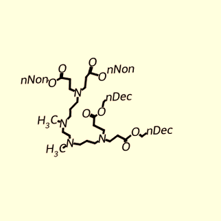 CCCCCCCCCCCOC(=O)CCN(CCCN(C)CCN(C)CCCN(CCC(=O)OCCCCCCCCC)CCC(=O)OCCCCCCCCC)CCC(=O)OCCCCCCCCCCC